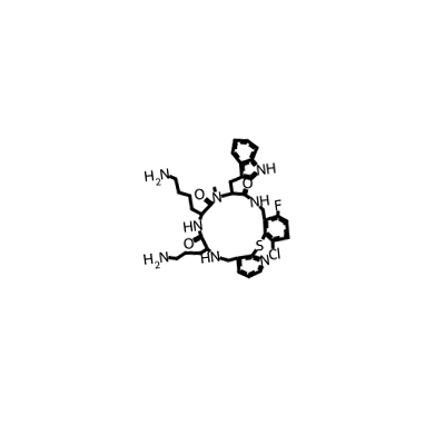 CN1C(=O)C(CCCCN)NC(=O)C(CCCN)NCc2cccnc2Sc2c(Cl)ccc(F)c2CNC(=O)C1Cc1c[nH]c2ccccc12